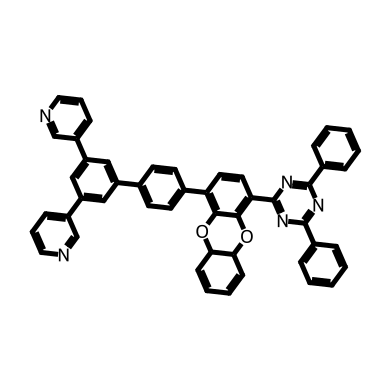 C1=CC2Oc3c(-c4ccc(-c5cc(-c6cccnc6)cc(-c6cccnc6)c5)cc4)ccc(-c4nc(-c5ccccc5)nc(-c5ccccc5)n4)c3OC2C=C1